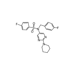 O=S(=O)(c1ccc(F)cc1)N(Cc1ccc(F)cc1)c1cnc(N2CCCCC2)nc1